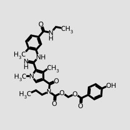 CCCN(C(=O)OCOC(=O)c1ccc(O)cc1)C(=O)c1cn(C)c(C(=N)Nc2cc(C(=O)NCC)ccc2C)c1C